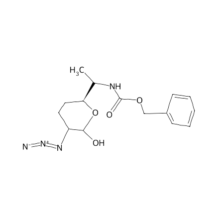 CC(NC(=O)OCc1ccccc1)[C@@H]1CCC(N=[N+]=[N-])C(O)O1